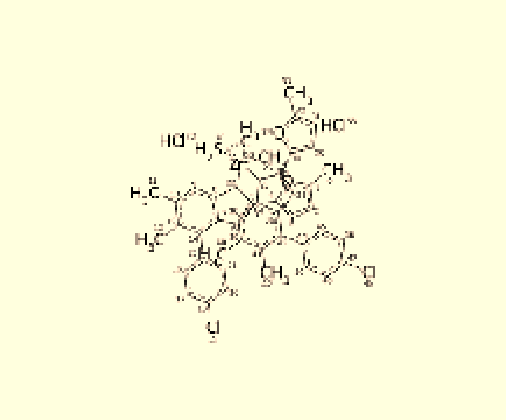 Cc1ccc(C2=Cc3c(cc(C)c(C)c3-c3ccc(Cl)cc3)[CH]2[Zr]([CH3])([CH3])(=[SiH2])[CH]2C(c3ccc(C)o3)=Cc3c2cc(C)c(C)c3-c2ccc(Cl)cc2)o1.Cl.Cl